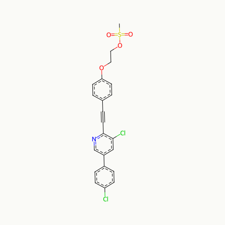 CS(=O)(=O)OCCOc1ccc(C#Cc2ncc(-c3ccc(Cl)cc3)cc2Cl)cc1